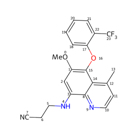 COc1cc(NCCC#N)c2nccc(C)c2c1Oc1ccccc1C(F)(F)F